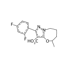 CC1CCCn2nc(-c3ccc(F)cc3F)c(C(=O)O)c2O1